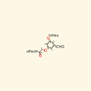 CCCCCCOc1cc(C=O)cc(OCC(=O)CCCCC)c1